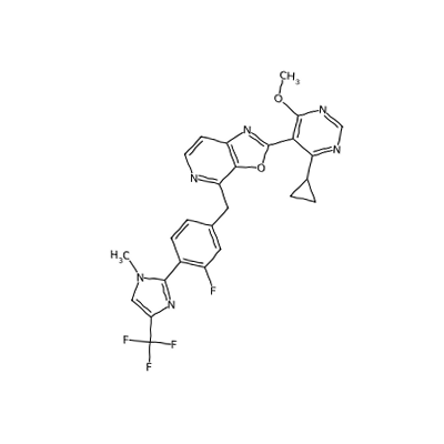 COc1ncnc(C2CC2)c1-c1nc2ccnc(Cc3ccc(-c4nc(C(F)(F)F)cn4C)c(F)c3)c2o1